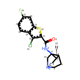 O=C(N[C@@H]1CN2CCC1CC2)c1sc2cc(F)ccc2c1Cl